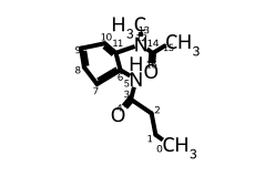 CCCC(=O)Nc1ccccc1N(C)C(C)=O